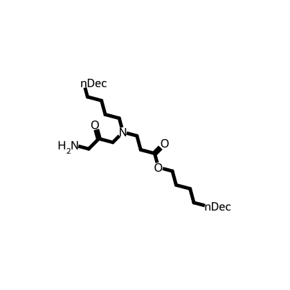 CCCCCCCCCCCCCCOC(=O)CCN(CCCCCCCCCCCCCC)CC(=O)CN